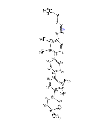 CCC/C=C\Cc1ccc(-c2ccc(-c3ccc(C4CCC(C)OC4)c(F)c3F)cc2)c(F)c1F